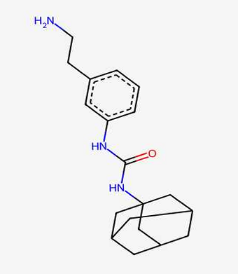 NCCc1cccc(NC(=O)NC23CC4CC(CC(C4)C2)C3)c1